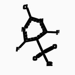 CCS(=O)(=O)c1c(F)nc(Cl)nc1F